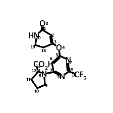 O=C1C=C(Oc2cc(N3CCC[C@H]3C(=O)O)nc(C(F)(F)F)n2)CCN1